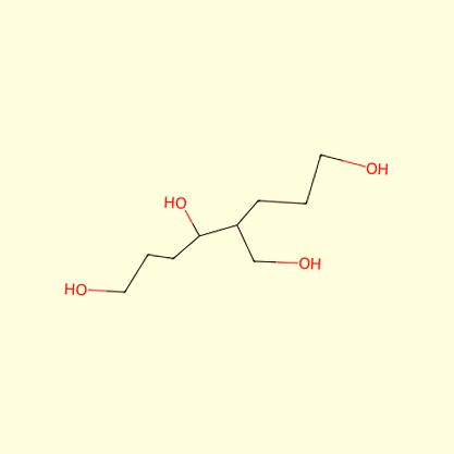 OCCCC(O)C(CO)CCCO